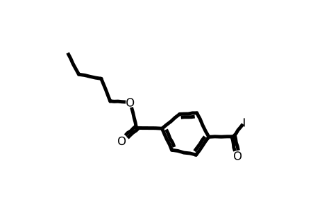 CCCCOC(=O)c1ccc(C(=O)I)cc1